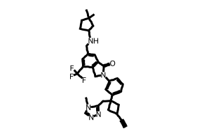 C#CC1CC(Cc2nncn2C)(c2cccc(N3Cc4c(cc(CNC5CCC(C)(C)C5)cc4C(F)(F)F)C3=O)c2)C1